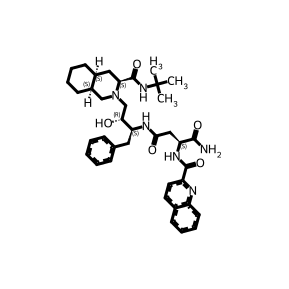 CC(C)(C)NC(=O)[C@@H]1C[C@@H]2CCCC[C@@H]2CN1C[C@@H](O)[C@H](Cc1ccccc1)NC(=O)C[C@H](NC(=O)c1ccc2ccccc2n1)C(N)=O